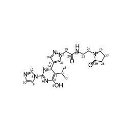 CC(C)c1c(O)nc(-n2ccnc2)nc1-c1cnn(CC(=O)NCCN2CCCC2=O)c1